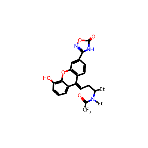 CCC(C/C=C1\c2ccc(-c3noc(=O)[nH]3)cc2Oc2c(O)cccc21)N(CC)C(=O)C(F)(F)F